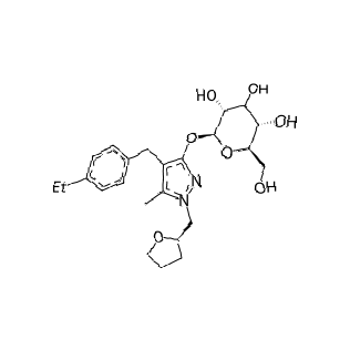 CCc1ccc(Cc2c(O[C@@H]3O[C@H](CO)[C@@H](O)C(O)[C@H]3O)nn(C[C@H]3CCCO3)c2C)cc1